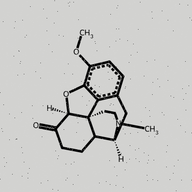 COc1ccc2c3c1O[C@@H]1C(=O)CCC4[C@H](C2)N(C)CC[C@]341